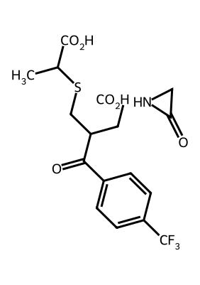 CC(SCC(CC(=O)O)C(=O)c1ccc(C(F)(F)F)cc1)C(=O)O.O=C1CN1